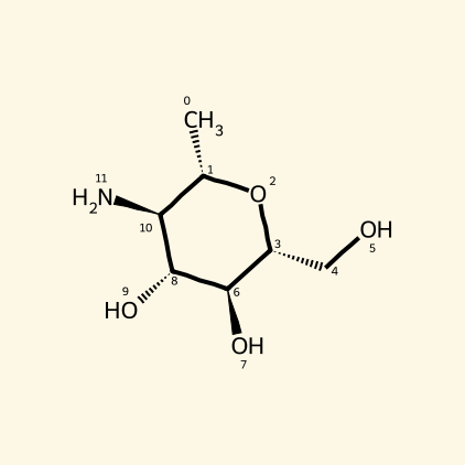 C[C@@H]1O[C@H](CO)[C@@H](O)[C@H](O)[C@H]1N